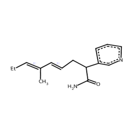 CC/C=C(C)/C=C/CC(C(N)=O)c1cccnc1